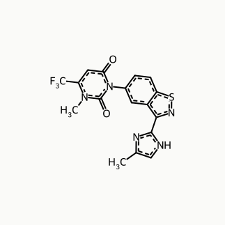 Cc1c[nH]c(-c2nsc3ccc(-n4c(=O)cc(C(F)(F)F)n(C)c4=O)cc23)n1